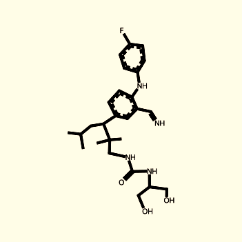 CC(C)CC(c1ccc(Nc2ccc(F)cc2)c(C=N)c1)C(C)(C)CNC(=O)NC(CO)CO